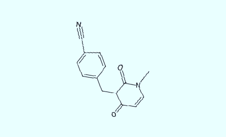 CN1C=CC(=O)C(Cc2ccc(C#N)cc2)C1=O